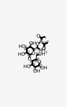 CC(=O)N(OC(N)[C@H]1O[C@@H](O[C@H]2[C@H](O)[C@@H](O)[C@@H](O)O[C@@H]2CO)[C@H](O)[C@@H](O)[C@H]1O)C(C)=O